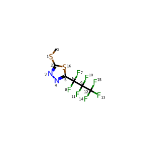 CSc1nnc(C(F)(F)C(F)(F)C(F)(F)F)s1